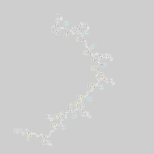 CN(CCCNC(=O)O)CCCNC(=O)c1cc(NC(=O)c2nc(NC(=O)CCNC(=O)c3cc(NC(=O)c4nc(NC(=O)CCNC(=O)c5cc(NC(=O)c6nccn6C)cn5C)cn4C)cn3C)cn2C)cn1C